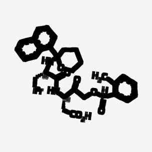 Cc1ccccc1[PH](=O)OCC(=O)[C@H](CC(=O)O)NC(=O)[C@H](CC(C)C)NC1(c2cccc3ccccc23)CCCCO1